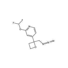 [N-]=[N+]=NCC1(c2ccnc(OC(F)F)c2)CCO1